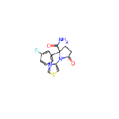 NC(=O)C1(c2cccc(F)c2)CCC(=O)N1c1cscn1